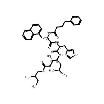 CCC(C)CNC(=O)C[C@H](O)[C@H](CC(C)C)NC(=O)[C@H](Cc1c[nH]cn1)NC(=O)[C@H](Cc1cccc2ccccc12)NC(=O)CCCc1ccccc1